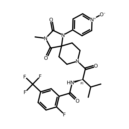 CC(C)[C@@H](NC(=O)c1cc(C(F)(F)F)ccc1F)C(=O)N1CCC2(CC1)C(=O)N(C)C(=O)N2c1cc[n+]([O-])cc1